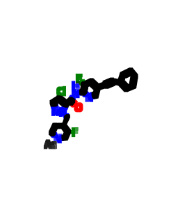 CC(=O)N1CC[C@@H](Cn2ncc(Cl)c2C(=O)Nc2ncc(C#Cc3ccccc3)cc2F)[C@H](F)C1